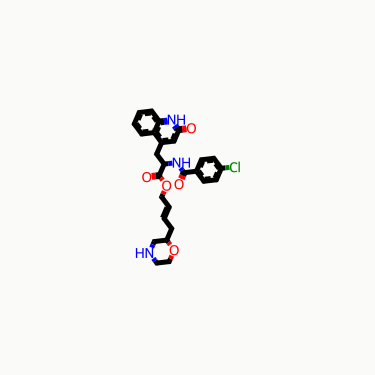 O=C(NC(Cc1cc(=O)[nH]c2ccccc12)C(=O)OCC=CCC1CNCCO1)c1ccc(Cl)cc1